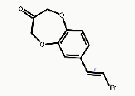 CC(C)/C=C/c1ccc2c(c1)OCC(=O)CO2